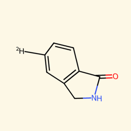 [2H]c1ccc2c(c1)CNC2=O